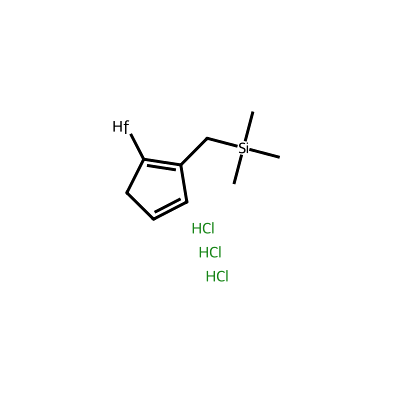 C[Si](C)(C)CC1=[C]([Hf])CC=C1.Cl.Cl.Cl